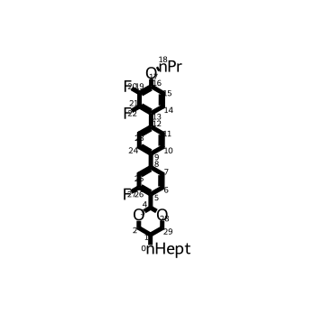 CCCCCCCC1COC(c2ccc(-c3ccc(-c4ccc(OCCC)c(F)c4F)cc3)cc2F)OC1